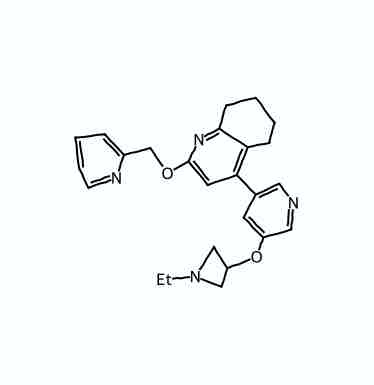 CCN1CC(Oc2cncc(-c3cc(OCc4ccccn4)nc4c3CCCC4)c2)C1